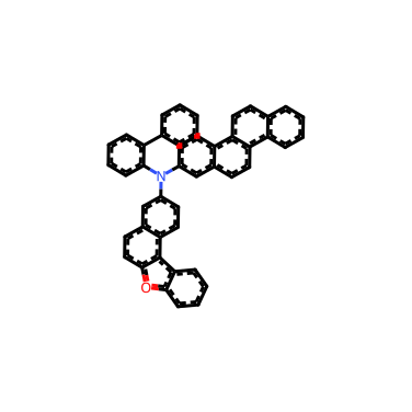 c1ccc(-c2ccccc2N(c2ccc3c(ccc4c5ccccc5ccc34)c2)c2ccc3c(ccc4oc5ccccc5c43)c2)cc1